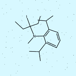 CCC(I)(CC)N(C)c1c(C(C)C)cccc1C(C)C